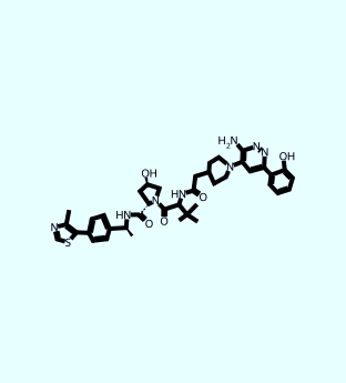 Cc1ncsc1-c1ccc([C@H](C)NC(=O)[C@@H]2C[C@@H](O)CN2C(=O)C(NC(=O)CC2CCN(c3cc(-c4ccccc4O)nnc3N)CC2)C(C)(C)C)cc1